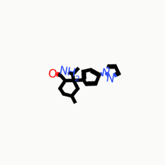 CC1CCC(C(N)=O)C(c2ccc(-n3cccn3)cc2)(C(C)C)C1